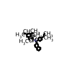 CCC(C)c1ccc(/C(=N\OS(=O)(=O)c2c(C(C)C)cc(C(C)C)cc2C(C)C)c2ccc3ccccc3c2)cc1